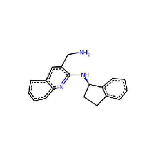 NCc1cc2ccccc2nc1N[C@@H]1CCc2ccccc21